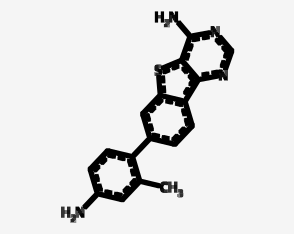 Cc1cc(N)ccc1-c1ccc2c(c1)sc1c(N)ncnc12